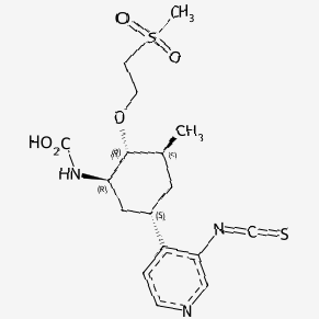 C[C@H]1C[C@H](c2ccncc2N=C=S)C[C@@H](NC(=O)O)[C@@H]1OCCS(C)(=O)=O